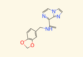 C=C(NCc1ccc2c(c1)OCO2)c1nccn2ccnc12